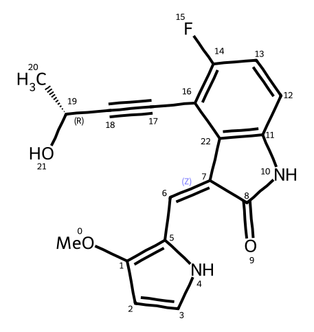 COc1cc[nH]c1/C=C1\C(=O)Nc2ccc(F)c(C#C[C@@H](C)O)c21